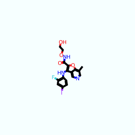 Cc1cncc2c(Nc3ccc(I)cc3F)c(C(=O)NOCCO)oc12